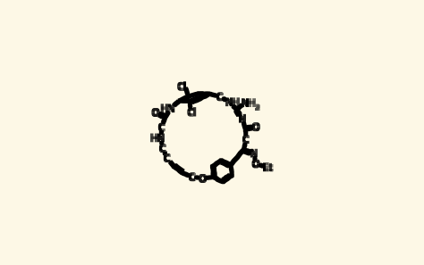 CCON=C1CC(=O)N=C(N)NCc2cc(Cl)c(c(Cl)c2)NC(=O)CNCCC=CCOc2ccc1cc2